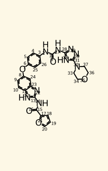 O=C(Nc1ccc(Oc2ccc3[nH]c(NC(=O)c4ccco4)nc3c2)cc1)Nc1nnc(N2CCOCC2)[nH]1